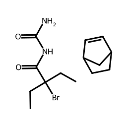 C1=CC2CCC1C2.CCC(Br)(CC)C(=O)NC(N)=O